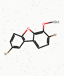 CCCCCCCCOc1c(Br)ccc2c1oc1ccc(Br)cc12